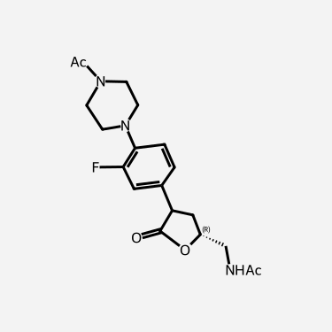 CC(=O)NC[C@H]1CC(c2ccc(N3CCN(C(C)=O)CC3)c(F)c2)C(=O)O1